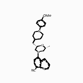 COc1ccc(N2CCC(C[C@H]3CN(c4ccc(C#N)c5ncccc45)C[C@@H](C)O3)CC2)cc1